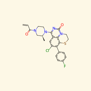 C=CC(=O)N1CCN(c2nc(=O)n3c4c(c(-c5ccc(F)cc5)c(Cl)cc24)SCC3)[C@@H](C)C1